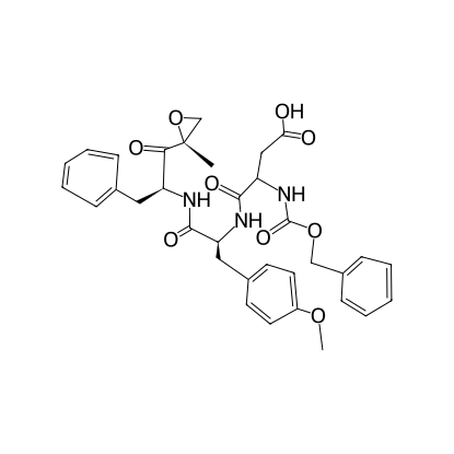 COc1ccc(C[C@H](NC(=O)C(CC(=O)O)NC(=O)OCc2ccccc2)C(=O)N[C@@H](Cc2ccccc2)C(=O)[C@@]2(C)CO2)cc1